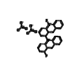 Fc1cccc2c1cc1ccccc1[n+]2-c1cccc2c1cc1ccccc1[n+]2F.O=[N+]([O-])[O-].O=[N+]([O-])[O-]